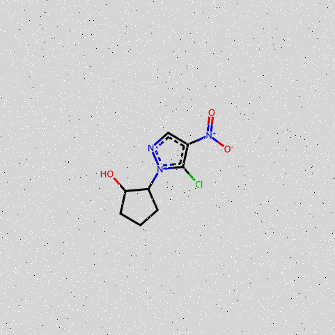 O=[N+]([O-])c1cnn(C2CCCC2O)c1Cl